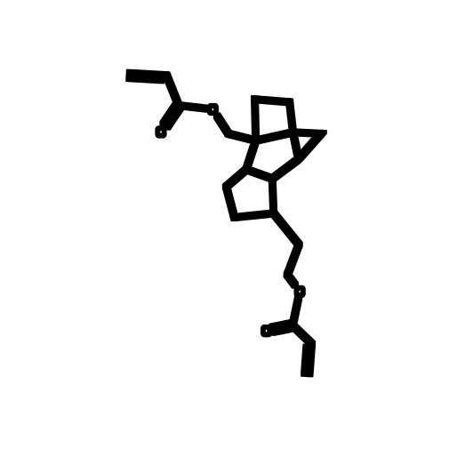 C=CC(=O)OCCC1CCC2C1C1CC13CCC23COC(=O)C=C